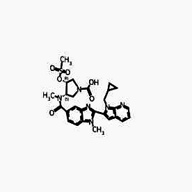 CN(C(=O)c1ccc2c(c1)nc(-c1cc3cccnc3n1CC1CC1)n2C)[C@H]1CN(C(=O)O)C[C@H]1OS(C)(=O)=O